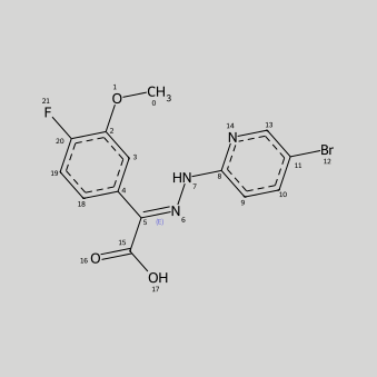 COc1cc(/C(=N\Nc2ccc(Br)cn2)C(=O)O)ccc1F